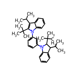 CC(C)c1c(C(C)(C)C)n(-c2cccc(N3c4ccccc4C(C(C)C)C3C(C)(C)C)c2)c2ccccc12